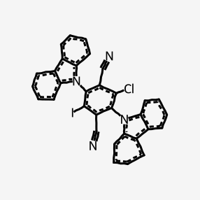 N#Cc1c(I)c(-n2c3ccccc3c3ccccc32)c(C#N)c(Cl)c1-n1c2ccccc2c2ccccc21